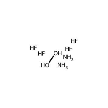 F.F.F.F.N.N.OO